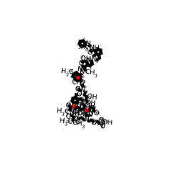 Cc1c(-c2ccc(N3CCc4cccc(C(=O)Nc5nc6ccccc6s5)c4C3)nc2C(=O)O)cnn1CC12CC3(C)CC(C)(C1)CC(OCCN(CCC(O)CO)C(=O)OCc1ccc(NC(=O)[C@H](C)NC(=O)[C@@H](NC(=O)CCN(CCOCCS(=O)(=O)O)C(=O)CN4C(=O)C=CC4=O)C(C)C)cc1CC[C@@H]1O[C@H](C(=O)O)[C@@H](O)[C@H](O)[C@H]1O)(C3)C2